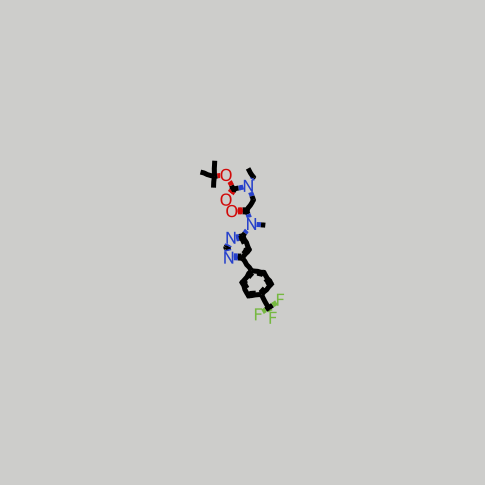 CCN(CC(=O)N(C)c1cc(-c2ccc(C(F)(F)F)cc2)ncn1)C(=O)OC(C)(C)C